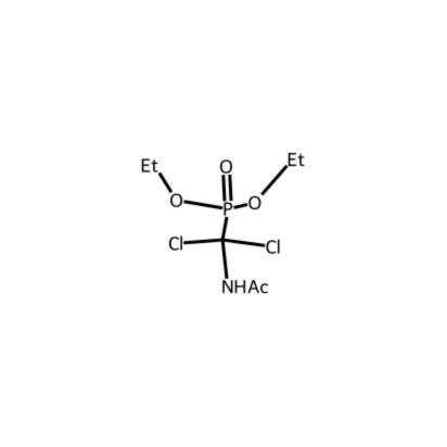 CCOP(=O)(OCC)C(Cl)(Cl)NC(C)=O